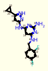 Nc1nc(NCc2ccc(F)cc2F)cc(Nc2cc(C3CC3)[nH]n2)n1